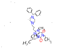 CCn1c(=O)c2c(nc(CCCN3CCN(C(c4ccccc4)c4ccccc4)CC3)n2C)n(CC(C)C)c1=O